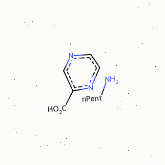 CCCCCN.O=C(O)c1cnccn1